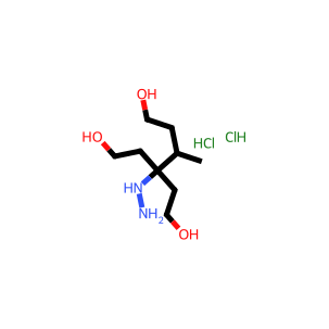 CC(CCO)C(CCO)(CCO)NN.Cl.Cl